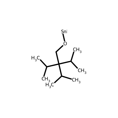 CC(C)C(C[O][Sn])(C(C)C)C(C)C